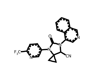 N#CC1N(c2cncc3ccccc23)C(=O)N(c2ccc(C(F)(F)F)nc2)C12CC2